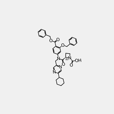 O=C(OCc1ccccc1)c1ccc(N(Cc2cnc(C3CCCCC3)cn2)C(=O)[C@H]2CCN2C(=O)O)cc1OCc1ccccc1